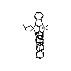 CC(C)CC1(C)C2=C(c3ccc(-c4ccccc4)cc3)[CH](c3ccccc32)[Hf]([CH3])([CH3])[CH]2C(c3ccc(-c4ccccc4)cc3)=C1c1ccccc12